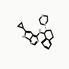 c1ccc2c(c1)CC[C@@H](N1CCOCC1)C2Nc1ncnc2[nH]c(C3CC3)cc12